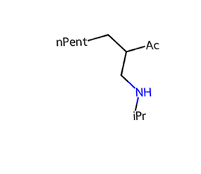 CCCCCCC(CNC(C)C)C(C)=O